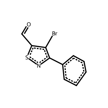 O=Cc1snc(-c2ccccc2)c1Br